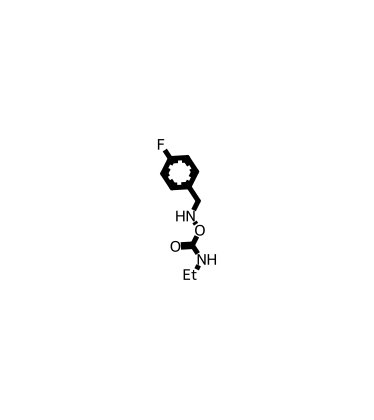 CCNC(=O)ONCc1ccc(F)cc1